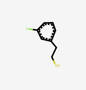 Fc1cccc(CCS)c1